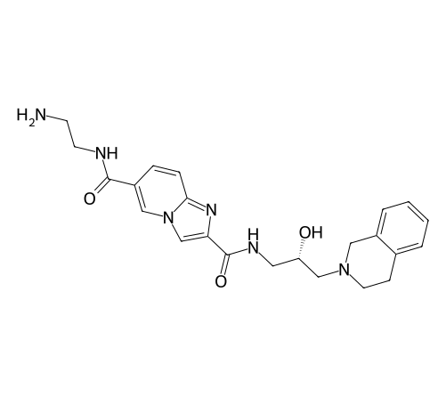 NCCNC(=O)c1ccc2nc(C(=O)NC[C@H](O)CN3CCc4ccccc4C3)cn2c1